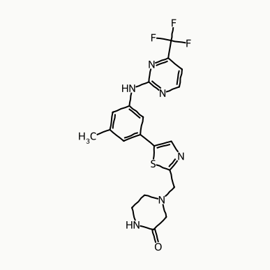 Cc1cc(Nc2nccc(C(F)(F)F)n2)cc(-c2cnc(CN3CCNC(=O)C3)s2)c1